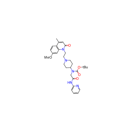 COc1ccc2c(C)cc(=O)n(CCN3CCC(N(CC(=O)Nc4ccccn4)C(=O)OC(C)(C)C)CC3)c2c1